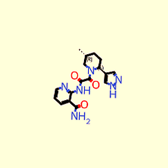 C[C@@H]1CC[C@@H](c2cn[nH]c2)N(C(=O)C(=O)Nc2ncccc2C(N)=O)C1